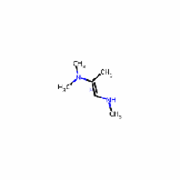 CN/C=C(\C)N(C)C